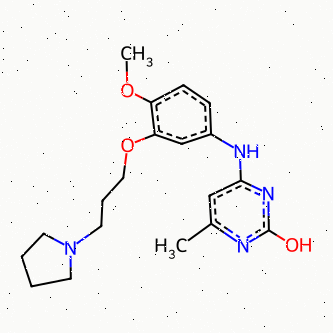 COc1ccc(Nc2cc(C)nc(O)n2)cc1OCCCN1CCCC1